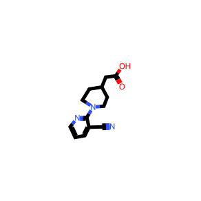 N#Cc1cccnc1N1CCC(CC(=O)O)CC1